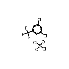 FC(F)(F)c1cc(Cl)cc(Cl)c1.O=S(=O)(Cl)Cl